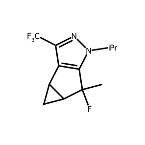 CC(C)n1nc(C(F)(F)F)c2c1C(C)(F)C1CC21